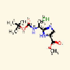 COC(=O)c1cnc(C(C)NC(=O)OC(C)(C)C)[nH]1.Cl